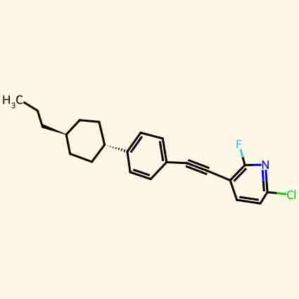 CCC[C@H]1CC[C@H](c2ccc(C#Cc3ccc(Cl)nc3F)cc2)CC1